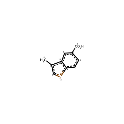 Cc1csc2ccc(C(=O)O)cc12